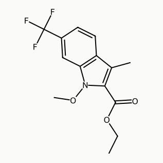 CCOC(=O)c1c(C)c2ccc(C(F)(F)F)cc2n1OC